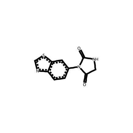 O=C1CNC(=O)N1c1ccc2ncsc2c1